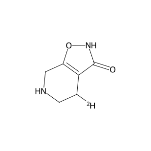 [2H]C1CNCc2o[nH]c(=O)c21